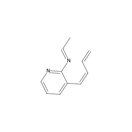 C=C/C=C\c1cccnc1/N=C/C